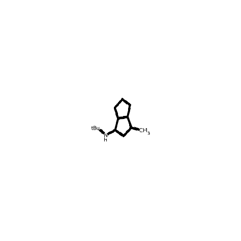 CC1CC(NC(C)(C)C)C2CCCC12